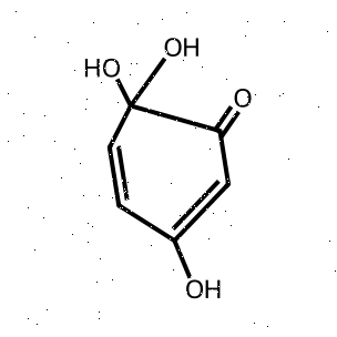 O=C1C=C(O)C=CC1(O)O